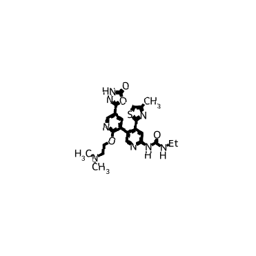 CCNC(=O)Nc1cc(-c2nc(C)cs2)c(-c2cc(-c3n[nH]c(=O)o3)cnc2OCCN(C)C)cn1